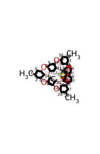 Cc1cc2c3c(c1)Oc1cc4c(cc1B3c1cc3c(cc1O2)Oc1cc(C)cc2c1B3c1sc3ccccc3c1O2)B1c2sc3ccccc3c2Oc2cc(C)cc(c21)O4